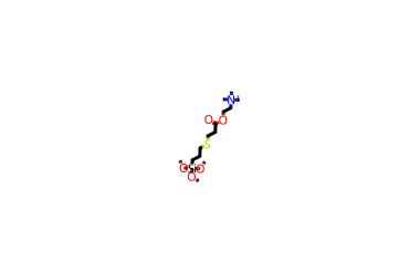 CO[Si](CCCSCCC(=O)OCC[N+](C)(C)C)(OC)OC